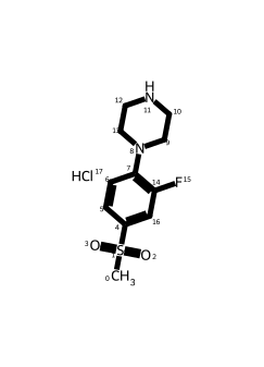 CS(=O)(=O)c1ccc(N2CCNCC2)c(F)c1.Cl